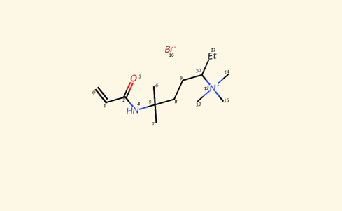 C=CC(=O)NC(C)(C)CCC(CC)[N+](C)(C)C.[Br-]